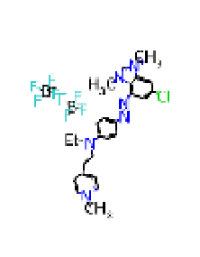 CCN(CCc1cc[n+](C)cc1)c1ccc(N=Nc2cc(Cl)cc3c2n(C)c[n+]3C)cc1.F[B-](F)(F)F.F[B-](F)(F)F